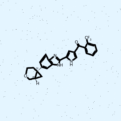 O=C(c1c[nH]c(-c2nc3ccc([C@@]45CCOC[C@@H]4C5)cc3[nH]2)c1)c1ccccc1C(F)(F)F